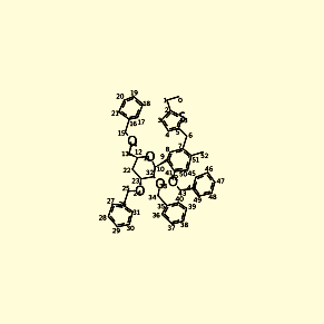 CCc1ccc(Cc2cc([C@@H]3O[C@H](COCc4ccccc4)C[C@H](OCc4ccccc4)[C@H]3OCc3ccccc3)c(OCc3ccccc3)cc2C)s1